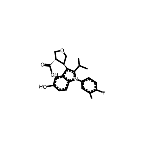 Cc1cc(-n2c(C(C)C)c([C@@H]3COC[C@H]3C(=O)O)c3cc(O)ccc32)ccc1F